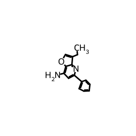 CCc1coc2c(N)cc(-c3ccccc3)nc12